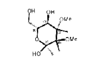 CO[C@@]1(C)[C@@](C)(O)O[C@H](CO)[C@@H](O)[C@]1(C)OC